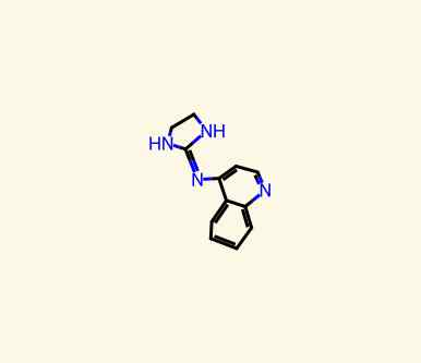 c1ccc2c(N=C3NCCN3)ccnc2c1